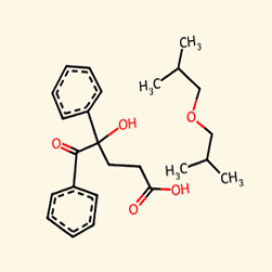 CC(C)COCC(C)C.O=C(O)CCC(O)(C(=O)c1ccccc1)c1ccccc1